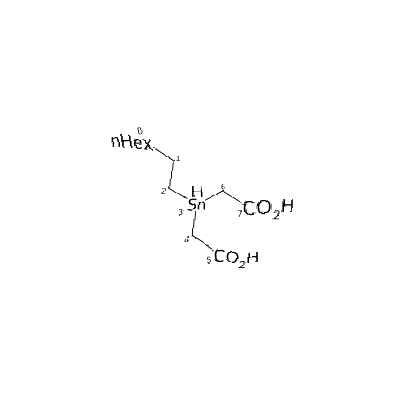 CCCCCCC[CH2][SnH]([CH2]C(=O)O)[CH2]C(=O)O